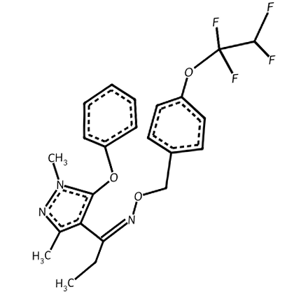 CCC(=NOCc1ccc(OC(F)(F)C(F)F)cc1)c1c(C)nn(C)c1Oc1ccccc1